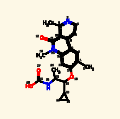 Cc1cc2c3ccnc(C)c3c(=O)n(C)c2cc1OC(C1CC1)C(C)NC(=O)O